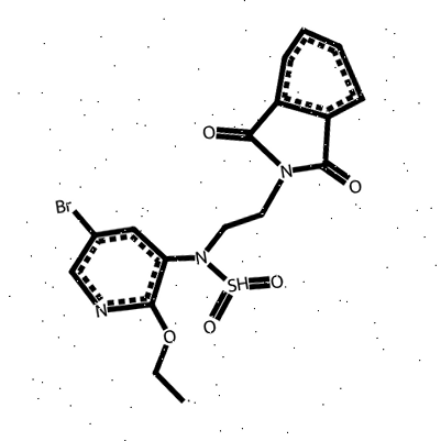 [CH2]COc1ncc(Br)cc1N(CCN1C(=O)c2ccccc2C1=O)[SH](=O)=O